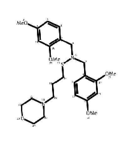 COc1ccc(CN(Cc2ccc(OC)cc2OC)SCCCN2CCOCC2)c(OC)c1